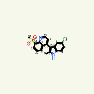 Cc1[nH]c2ccc(Cl)cc2c1-c1ccnc2c(S(C)(=O)=O)cccc12